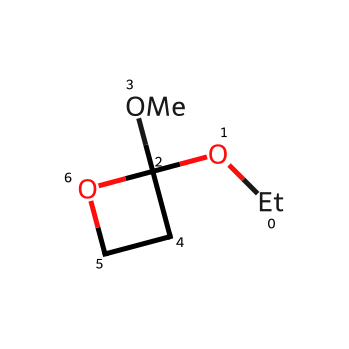 CCOC1(OC)CCO1